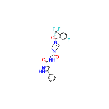 O=C(NCC(=O)N1CC2CC1CN2C(=O)c1cc(F)ccc1C(F)(F)F)c1cc(-c2ccccc2)[nH]n1